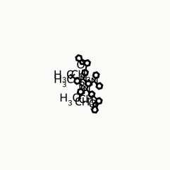 CC(C)(C)c1ccc2c(c1)N(c1ccc(-c3cccc4c3oc3ccccc34)cc1)c1cc(N(c3ccccc3)c3ccccc3)cc3c1B2c1ccc(C(C)(C)C)cc1N3c1ccc(-c2cccc3c2oc2ccccc23)cc1